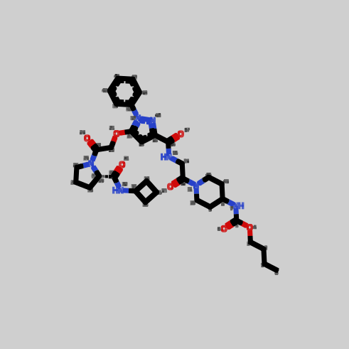 CCCCOC(=O)NC1CCN(C(=O)CNC(=O)c2cc(OCC(=O)N3CCC[C@H]3C(=O)NC3CCC3)n(-c3ccccc3)n2)CC1